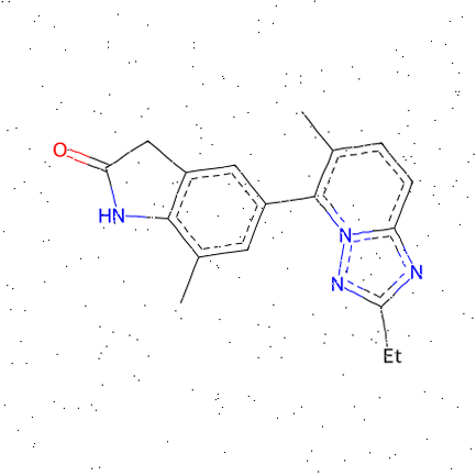 CCc1nc2ccc(C)c(-c3cc(C)c4c(c3)CC(=O)N4)n2n1